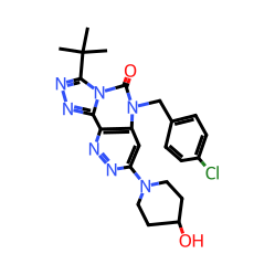 CC(C)(C)c1nnc2c3nnc(N4CCC(O)CC4)cc3n(Cc3ccc(Cl)cc3)c(=O)n12